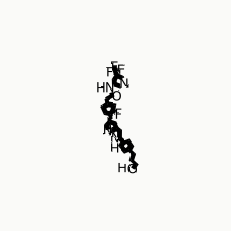 O=C(Cc1ccc(-c2cnc3[nH]c(-c4ccc(CCCO)cc4)cc3c2)c(F)c1)Nc1cncc(C(F)(F)F)c1